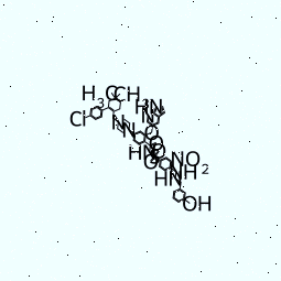 CC1(C)CCC(CN2CCN(c3ccc(C(=O)NS(=O)(=O)c4ccc(NNCc5cccc(O)c5)c([N+](=O)[O-])c4)c(Oc4cnc5[nH]ccc5c4)c3)CC2)=C(c2ccc(Cl)cc2)C1